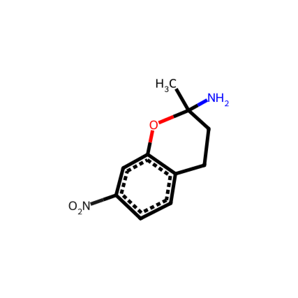 CC1(N)CCc2ccc([N+](=O)[O-])cc2O1